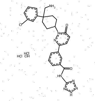 Cl.Cl.Cl.NCC1(c2cccc(Cl)c2)CCC(n2nc(-c3cccc(C(=O)Nc4nn[nH]n4)c3)ccc2=O)CC1